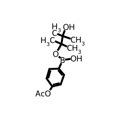 CC(=O)Oc1ccc(B(O)OC(C)(C)C(C)(C)O)cc1